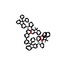 CC1(C)c2ccccc2-c2cccc(-c3ccccc3N(c3ccc4c(c3)C(c3ccccc3)(c3ccccc3)c3ccccc3-4)c3ccc4cc(-c5cccc(C6(c7ccccc7)c7ccccc7-c7ccc(N(c8ccccc8-c8cccc9c8C(C)(C)c8ccccc8-9)c8cccc9c8oc8ccccc89)cc76)c5)ccc4c3)c21